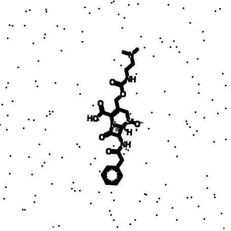 CN(C)CCNC(=O)OCC1=C(C(=O)O)N2C(=O)C(NC(=O)Cc3ccccc3)[C@@H]2[S+]([O-])C1